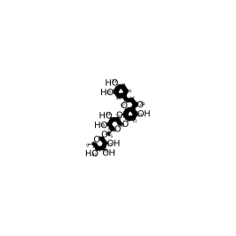 C[C@@H]1O[C@@H](OC[C@H]2O[C@@H](Oc3cc(O)c4c(c3)OC(c3ccc(O)c(O)c3)CC4=O)[C@H](O)[C@@H](O)[C@@H]2O)[C@H](O)[C@H](O)[C@H]1O